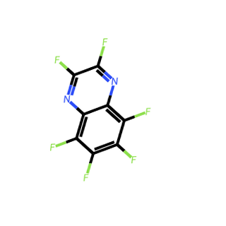 Fc1nc2c(F)c(F)c(F)c(F)c2nc1F